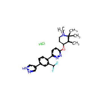 CC1C(Oc2ccc(-c3ccc(-c4cn[nH]c4)cc3C(F)F)nn2)CCN(C)C1(C)C.Cl